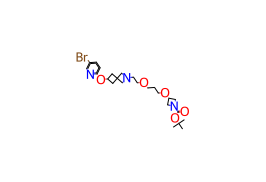 CC(C)(C)OC(=O)N1CC(OCCCOCCN2CC3(CC(Oc4ccc(Br)cn4)C3)C2)C1